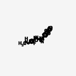 CNCc1ccc(-c2nnc(-c3cncc(-c4ccc(S(=O)(=O)C5CCOCC5)cc4)n3)o2)c(F)c1